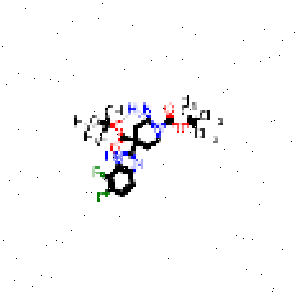 CC(C)(C)OC(=O)N1CCC(C(=O)OC(C)(C)C)(c2nc3ccc(F)c(F)c3[nH]2)CC1N